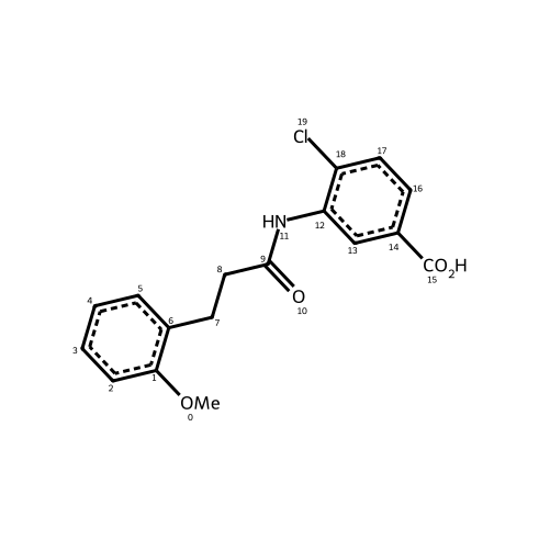 COc1ccccc1CCC(=O)Nc1cc(C(=O)O)ccc1Cl